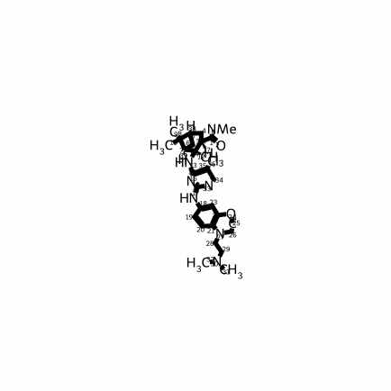 CNC(=O)[C@H]1C[C@H]2C[C@H](C2(C)C)[C@@]1(C)Nc1nc(Nc2ccc3c(c2)OCCN3CCN(C)C)ncc1Cl